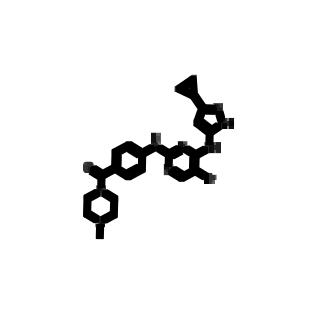 CN1CCN(C(=O)c2ccc(Nc3ncc(Br)c(Nc4cc(C5CC5)n[nH]4)n3)cc2)CC1